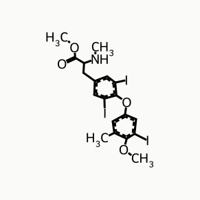 CNC(Cc1cc(I)c(Oc2cc(C)c(OC)c(I)c2)c(I)c1)C(=O)OC